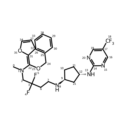 CN(CC(F)(F)CCN[C@H]1CC[C@H](Nc2ncc(C(F)(F)F)cn2)C1)C(OCc1ccccc1)=C1CC=CO1